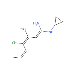 C\C=C/C(Cl)=C(\C=C(/N)NC1CC1)C(C)(C)C